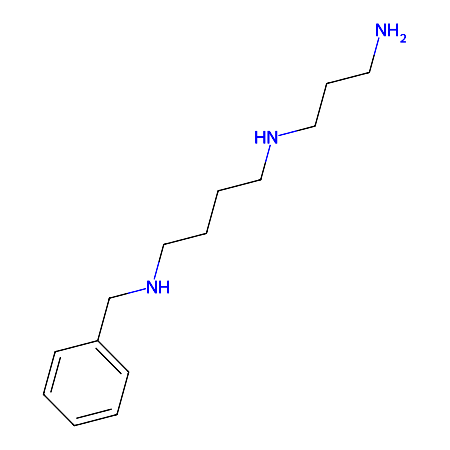 NCCCNCCCCNCc1ccccc1